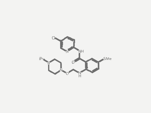 CSc1ccc(NCON2CCN(C(C)C)CC2)c(C(=O)Nc2ccc(Cl)cn2)c1